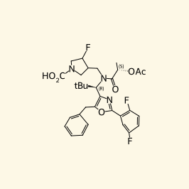 CC(=O)O[C@@H](C)C(=O)N(CC1CN(C(=O)O)CC1F)[C@@H](c1nc(-c2cc(F)ccc2F)oc1Cc1ccccc1)C(C)(C)C